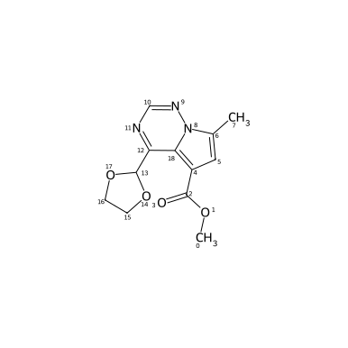 COC(=O)c1cc(C)n2ncnc(C3OCCO3)c12